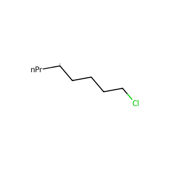 CCC[CH]CCCCCl